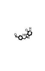 O=Nc1ccc(Cc2nc3cc[nH]c(=O)c3[nH]2)cc1